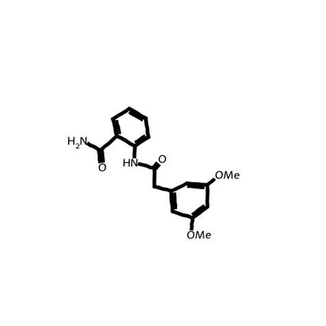 COc1cc(CC(=O)Nc2ccccc2C(N)=O)cc(OC)c1